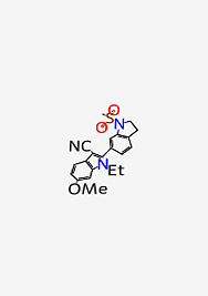 CCn1c(-c2ccc3c(c2)N(S(C)(=O)=O)CC3)c(C#N)c2ccc(OC)cc21